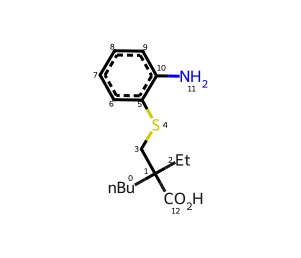 CCCCC(CC)(CSc1ccccc1N)C(=O)O